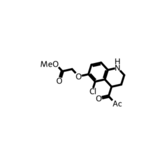 COC(=O)COc1ccc2c(c1Cl)C(C(=O)C(C)=O)CCN2